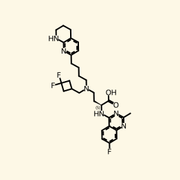 Cc1nc(N[C@@H](CCN(CCCCc2ccc3c(n2)NCCC3)CC2CC(F)(F)C2)C(=O)O)c2ccc(F)cc2n1